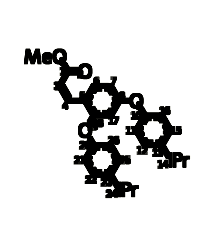 COC(=O)/C=C\c1ccc(Oc2ccc(C(C)C)cc2)cc1Oc1ccc(C(C)C)cc1